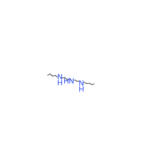 CCCCCNCCCCNCCCNCCCCC